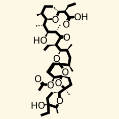 CC[C@@H](C(=O)[C@@H](C)[C@@H](O)[C@H](C)[C@@H]1O[C@@H]([C@@H](CC)C(=O)O)CC[C@@H]1C)[C@H]1O[C@]2(C=C[C@H](OC(C)=O)[C@]3(CC[C@@](C)([C@H]4CC[C@](O)(CC)[C@H](C)O4)O3)O2)[C@H](C)C[C@@H]1C